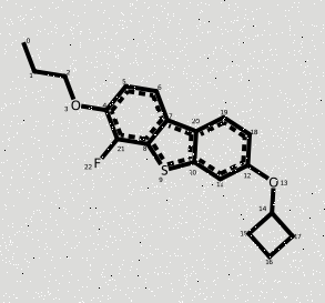 CCCOc1ccc2c(sc3cc(OC4CCC4)ccc32)c1F